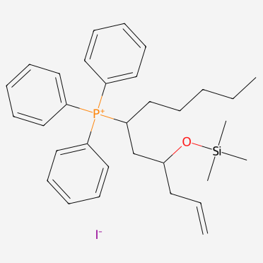 C=CCC(CC(CCCCC)[P+](c1ccccc1)(c1ccccc1)c1ccccc1)O[Si](C)(C)C.[I-]